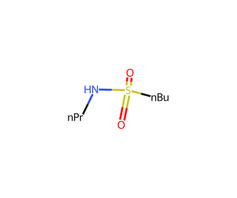 CCCCS(=O)(=O)NCCC